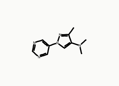 Cc1nn(-c2cncnc2)cc1N(C)C